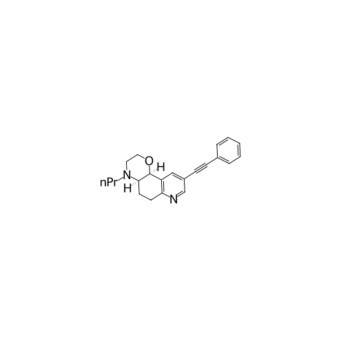 CCCN1CCO[C@H]2c3cc(C#Cc4ccccc4)cnc3CC[C@H]21